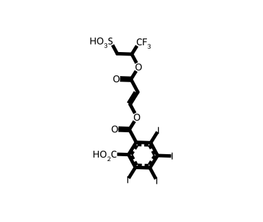 O=C(/C=C/OC(=O)c1c(I)c(I)c(I)c(I)c1C(=O)O)OC(CS(=O)(=O)O)C(F)(F)F